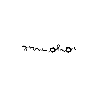 C=CC(=O)OCCOCCOCCOc1ccc(C(=O)OCCc2ccc(OC)cc2)cc1